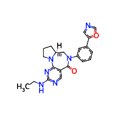 CCNc1ncc2c(n1)N1CCC[C@H]1CN(c1cccc(-c3cnco3)c1)C2=O